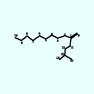 C=C(CCCCCCCCC)CCC(C)C